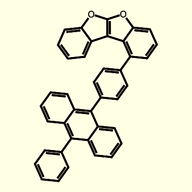 c1ccc(-c2c3ccccc3c(-c3ccc(-c4cccc5oc6oc7ccccc7c6c45)cc3)c3ccccc23)cc1